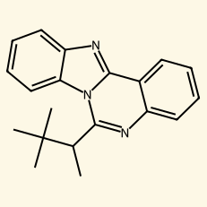 CC(c1nc2ccccc2c2nc3ccccc3n12)C(C)(C)C